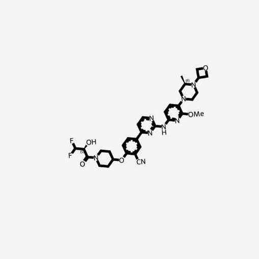 COc1nc(Nc2nccc(-c3ccc(OC4CCN(C(=O)[C@H](O)C(F)F)CC4)c(C#N)c3)n2)ccc1N1CCN(C2COC2)[C@H](C)C1